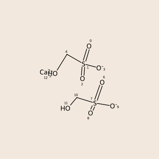 O=S(=O)([O-])CO.O=S(=O)([O-])CO.[Ca+2]